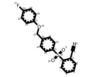 N#Cc1ccccc1S(=O)(=O)c1ccc(COc2ccc(F)cc2)cc1